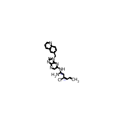 C=C/C=C(Cl)\C=C(/N)Nc1cnc2nnn(Cc3ccc4ncccc4c3)c2n1